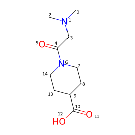 CN(C)CC(=O)N1CCC(C(=O)O)CC1